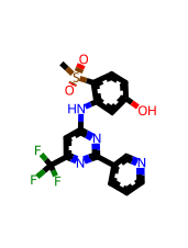 CS(=O)(=O)c1ccc(O)cc1Nc1cc(C(F)(F)F)nc(-c2cccnc2)n1